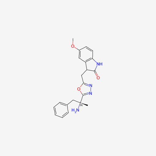 COc1ccc2c(c1)C(Cc1nnc([C@](C)(N)Cc3ccccc3)o1)C(=O)N2